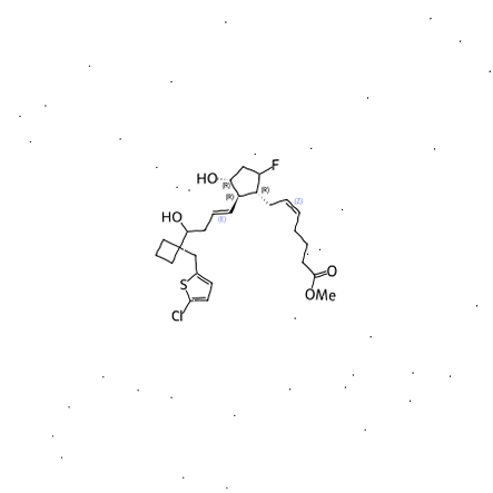 COC(=O)CCC/C=C\C[C@H]1C(F)C[C@@H](O)[C@@H]1/C=C/CC(O)C1(Cc2ccc(Cl)s2)CCC1